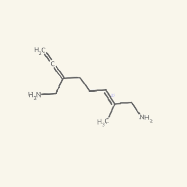 C=C=C(CN)CC/C=C(\C)CN